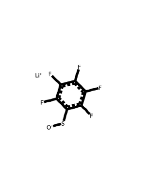 [Li+].[O-]Sc1c(F)c(F)c(F)c(F)c1F